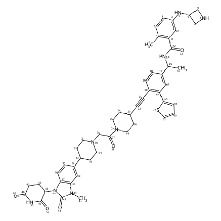 Cc1ccc(NC2CNC2)cc1C(=O)NC(C)c1ccc(C#CC2CCN(C(=O)CN3CCC(c4ccc5c(c4)n(C)c(=O)n5C4CCC(=O)NC4=O)CC3)CC2)c(-c2cccs2)c1